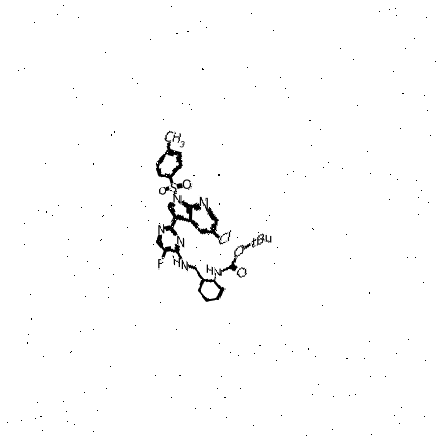 Cc1ccc(S(=O)(=O)n2cc(-c3ncc(F)c(NCC4CCCC[C@H]4NC(=O)OC(C)(C)C)n3)c3cc(Cl)cnc32)cc1